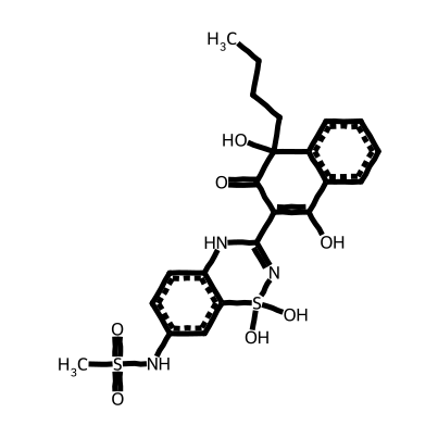 CCCCC1(O)C(=O)C(C2=NS(O)(O)c3cc(NS(C)(=O)=O)ccc3N2)=C(O)c2ccccc21